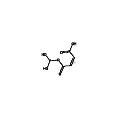 O=C(O)/C=C\C(=O)OP(O)O